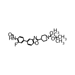 CC(C)(C)OC(=O)N1CCC(c2nc3cc(-c4ccc(NC=O)c(F)c4)ccc3o2)CC1